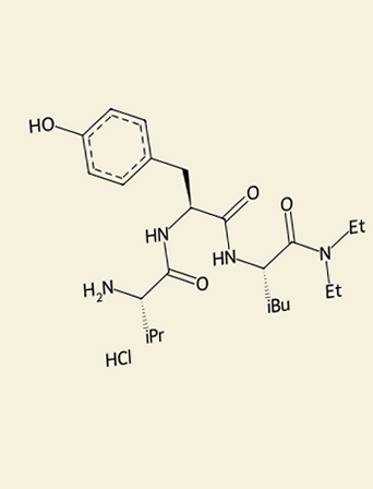 CCC(C)[C@H](NC(=O)[C@H](Cc1ccc(O)cc1)NC(=O)[C@@H](N)C(C)C)C(=O)N(CC)CC.Cl